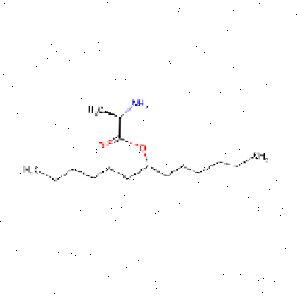 CCCCCCC(CCCCCC)OC(=O)[C@@H](C)N